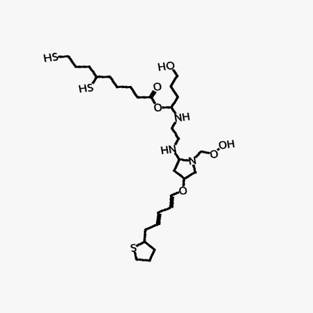 O=C(CCCCC(S)CCCS)OC(CCCO)NCCNC1CC(O/C=C/C=C/CC2CCCS2)CN1COO